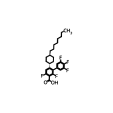 CCCCCCCC[C@H]1CC[C@H](c2cc(F)c(C(=O)O)c(F)c2-c2cc(F)c(F)c(F)c2)CC1